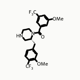 COc1cc(C(=O)N2CCNC[C@H]2Cc2ccc(C(F)(F)F)c(OC)c2)cc(C(F)(F)F)c1